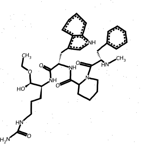 CCO[C@H](O)[C@H](CCCNC(N)=O)NC(=O)[C@H](Cc1c[nH]c2ccccc12)NC(=O)C1CCCCN1C(=O)[C@H](Cc1ccccc1)NC